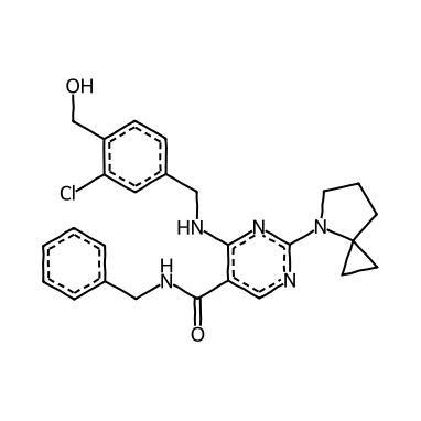 O=C(NCc1ccccc1)c1cnc(N2CCCC23CC3)nc1NCc1ccc(CO)c(Cl)c1